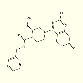 N#CC[C@H]1CN(c2nc(Cl)nc3c2CCC(=O)C3)CCN1C(=O)OCc1ccccc1